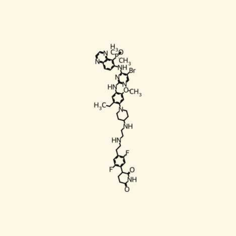 CCc1cc(Nc2ncc(Br)c(Nc3ccc4nccnc4c3P(C)(C)=O)n2)c(OC)cc1N1CCC(NCCNCCc2cc(F)c(C3CCC(=O)NC3=O)cc2F)CC1